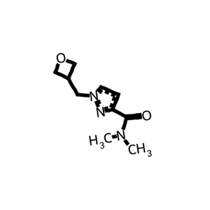 CN(C)C(=O)c1ccn(CC2COC2)n1